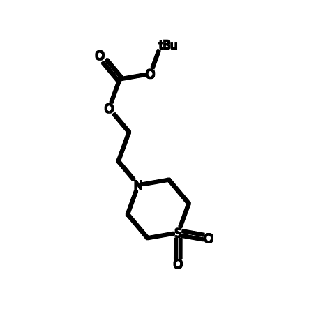 CC(C)(C)OC(=O)OCCN1CCS(=O)(=O)CC1